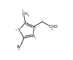 Cc1sc(Br)nc1CC=O